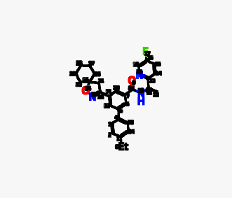 CCc1ccc(-c2cc(C(=O)N[C@H](C)c3ccc(F)cn3)cc(C3=NOC4(CCCCC4)C3)c2)cc1